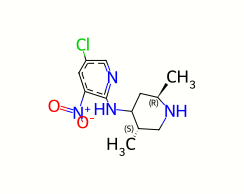 C[C@@H]1CC(Nc2ncc(Cl)cc2[N+](=O)[O-])[C@@H](C)CN1